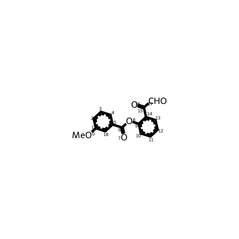 COc1cccc(C(=O)Oc2ccccc2C(=O)C=O)c1